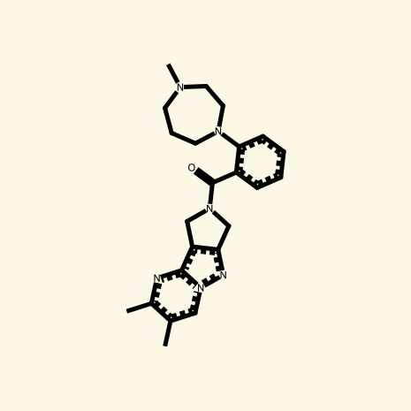 Cc1cn2nc3c(c2nc1C)CN(C(=O)c1ccccc1N1CCCN(C)CC1)C3